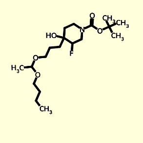 CCCCOC(C)OCCCC1(O)CCN(C(=O)OC(C)(C)C)CC1F